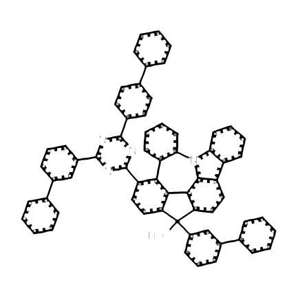 CC1(c2cccc(-c3ccccc3)c2)c2ccc(-c3nc(-c4ccc(-c5ccccc5)cc4)nc(-c4cccc(-c5ccccc5)c4)n3)c3c2-c2c1ccc1c4ccccc4n(c21)-c1ccccc1-3